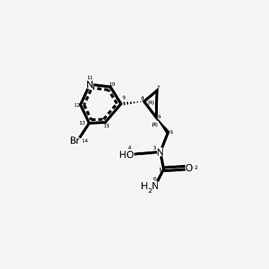 NC(=O)N(O)C[C@@H]1C[C@H]1c1cncc(Br)c1